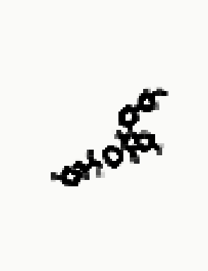 CSc1ncc(-c2cccc(-n3c(=O)n([C@H]4CC[C@@H](NC(=O)c5cn6cc(F)ccc6n5)CC4)c(=O)c4cc(F)cnc43)c2)cn1